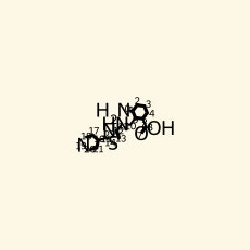 Nc1cccc(C(=O)O)c1CNc1csc(-c2ccncc2)n1